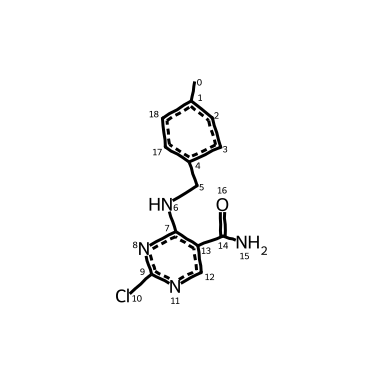 Cc1ccc(CNc2nc(Cl)ncc2C(N)=O)cc1